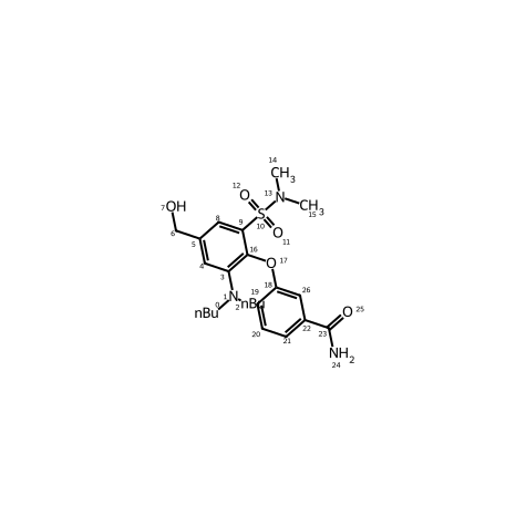 CCCCN(CCCC)c1cc(CO)cc(S(=O)(=O)N(C)C)c1Oc1cccc(C(N)=O)c1